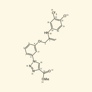 C=C(COc1cccc(-n2cc(C(=O)OC)nn2)c1)Nc1ccc(Cl)c(C(F)(F)F)c1